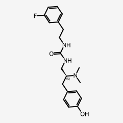 CN(C)[C@H](CNC(=O)NCCc1cccc(F)c1)Cc1ccc(O)cc1